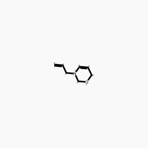 C=CCN1C=CCOC1